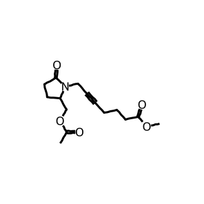 COC(=O)CCCC#CCN1C(=O)CCC1COC(C)=O